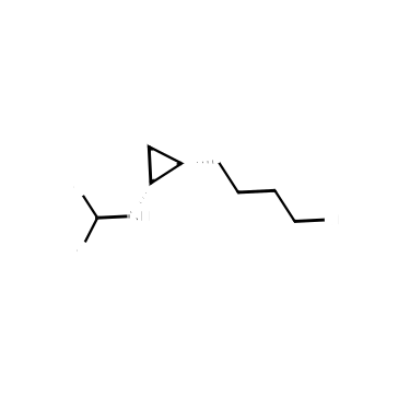 CCCCC[C@H]1C[C@H]1NC(C)C